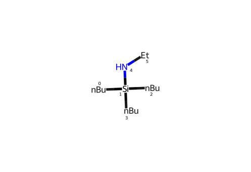 CCCC[Si](CCCC)(CCCC)NCC